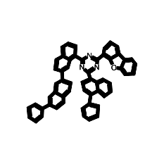 c1ccc(-c2ccc3ccc(-c4ccc5cccc(-c6nc(-c7ccc(-c8ccccc8)c8ccccc78)nc(-c7cccc8c7oc7ccccc78)n6)c5c4)cc3c2)cc1